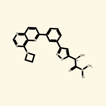 CCN(C)C(=O)[C@H](O)c1cc(-c2cccc(-c3ccc4ncnc(N5CCC5)c4n3)c2)no1